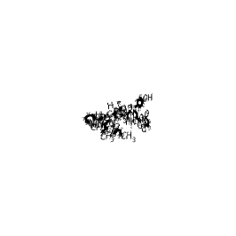 CCCC(=O)OCN(C(=O)[C@H](NC(=O)[C@@H]1CCCCN1C)C(C)CC)[C@@H](C[C@H](OC(C)=O)c1nc(C(=O)N[C@H](Cc2ccc(O)cc2)C[C@@H](C)C(=O)ON2C(=O)CCC2=O)cs1)C(C)C